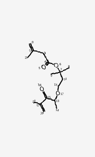 C=C(C)CC(=O)OC(C)(C)CCOC(C)C(=O)C(=C)C